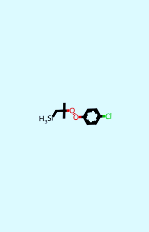 CC(C)(C[SiH3])OOc1ccc(Cl)cc1